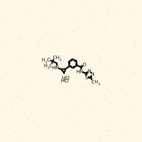 Cc1nnc(NC(=O)c2cccc(C3CC3NCC(C)(C)C)c2)s1.Cl.Cl